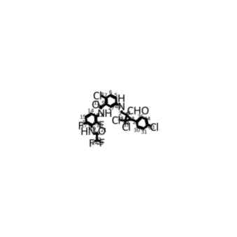 O=CC1(CNc2ccc(Cl)c(C(=O)Nc3ccc(F)c(NC(=O)C(F)F)c3F)c2)C(c2ccc(Cl)cc2)C1(Cl)Cl